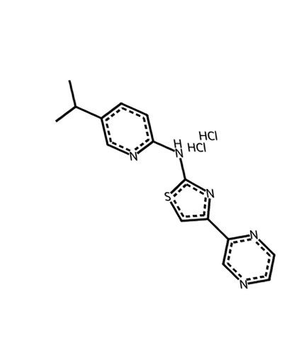 CC(C)c1ccc(Nc2nc(-c3cnccn3)cs2)nc1.Cl.Cl